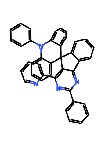 c1ccc(-c2nc(-c3ccccn3)c3c(n2)-c2ccccc2C32c3ccccc3N(c3ccccc3)c3ccccc32)cc1